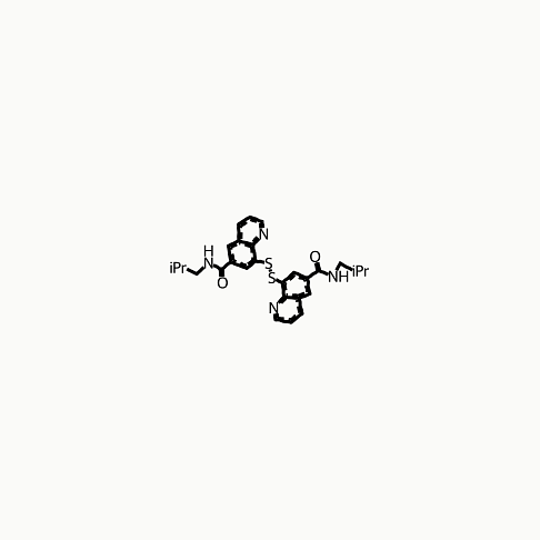 CC(C)CNC(=O)c1cc(SSc2cc(C(=O)NCC(C)C)cc3cccnc23)c2ncccc2c1